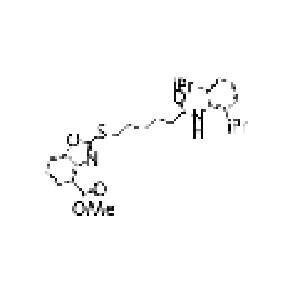 COC(=O)c1cccc2oc(SCCCCCC(=O)Nc3c(C(C)C)cccc3C(C)C)nc12